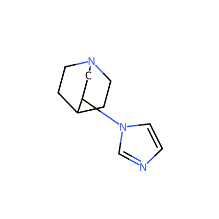 c1cn(C2CN3CCC2CC3)cn1